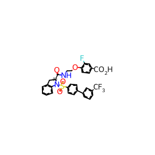 O=C(O)c1ccc(OCCNC(=O)[C@@H]2Cc3ccccc3N2S(=O)(=O)c2ccc(-c3cccc(C(F)(F)F)c3)cc2)c(F)c1